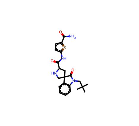 CC(C)(C)CN1C(=O)C2(CNC(C(=O)Nc3ccc(C(N)=O)s3)C2)c2ccccc21